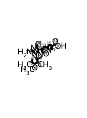 COc1c(C)cnc(CN2C(=O)C(=Cc3cc(C(=O)O)c[nH]3)c3c(Cl)nc(N)nc32)c1C